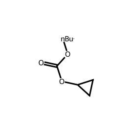 CCC[CH]OC(=O)OC1CC1